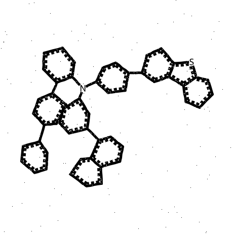 c1ccc(-c2ccc(-c3ccccc3N(c3ccc(-c4ccc5sc6ccccc6c5c4)cc3)c3cccc(-c4cccc5ccccc45)c3)cc2)cc1